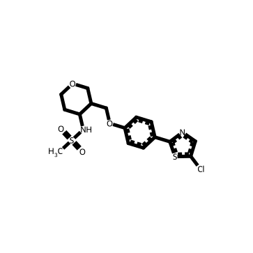 CS(=O)(=O)NC1CCOCC1COc1ccc(-c2ncc(Cl)s2)cc1